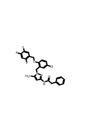 Cc1cc(NC(=O)Cc2ccccc2)nn1Cc1cc(Cl)ccc1OCc1cc(F)c(F)cc1F